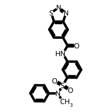 CN(c1ccccc1)S(=O)(=O)c1cccc(NC(=O)c2ccc3snnc3c2)c1